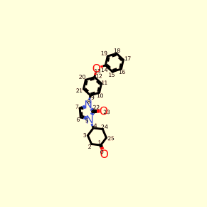 O=C1CCC(n2ccn(-c3ccc(Oc4ccccc4)cc3)c2=O)CC1